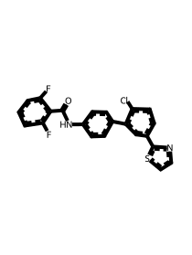 O=C(Nc1ccc(-c2cc(-c3nccs3)ccc2Cl)cc1)c1c(F)cccc1F